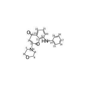 O=c1cc(N2CCOCC2)oc2c(Nc3ccccc3)cccc12